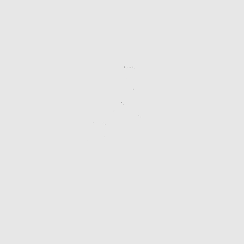 C=C(C(O)c1ccccc1Cl)N(C)CC(=O)N1CC(C=O)(c2ccccc2NC)CC1C#N